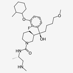 CNC[C@H](C)NC(=O)N1CCC[C@@H]([C@@](O)(CCCCOC)c2cccc(OC3CCCCC3C)c2F)C1